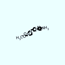 CCOC(=O)CN1CCCN(CC2CCN(c3ccc(N)cn3)CC2)CC1